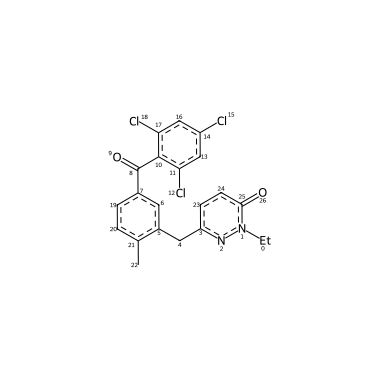 CCn1nc(Cc2cc(C(=O)c3c(Cl)cc(Cl)cc3Cl)ccc2C)ccc1=O